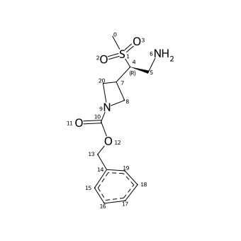 CS(=O)(=O)[C@@H](CN)C1CN(C(=O)OCc2ccccc2)C1